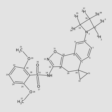 [2H]C1([2H])N(c2ccc3c(c2)-c2onc(NS(=O)(=O)c4c(OC)cccc4OC)c2CC32CC2)C([2H])([2H])C1([2H])[2H]